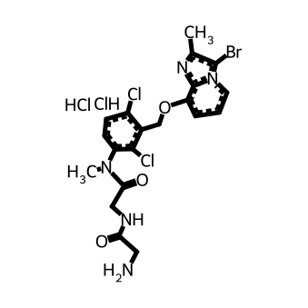 Cc1nc2c(OCc3c(Cl)ccc(N(C)C(=O)CNC(=O)CN)c3Cl)cccn2c1Br.Cl.Cl